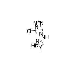 Cc1cc(NN2C=C(Cl)n3ncnc3C2)n[nH]1